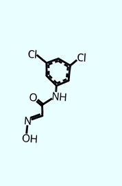 O=C(C=NO)Nc1cc(Cl)cc(Cl)c1